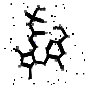 CCCCCOc1ccc(Cn2c(C)nc(Cl)c2/C=C/C(=O)NS(=O)(=O)CCCCC)c(Cl)c1